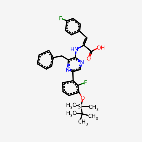 CC(C)(C)[Si](C)(C)Oc1cccc(-c2cnc(N/C(=C\c3ccc(F)cc3)C(=O)O)c(Cc3ccccc3)n2)c1F